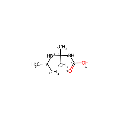 CC(C)BC(C)(C)BC(=O)O